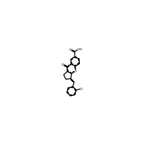 O=C(O)c1ccc2oc3c(c(=O)c2c1)CCC3=Cc1ccccc1Cl